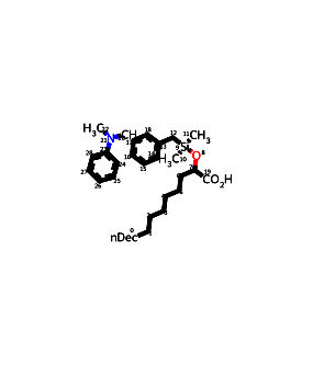 CCCCCCCCCCCCCCCCC(O[Si](C)(C)Cc1ccccc1)C(=O)O.CN(C)c1ccccc1